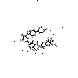 Cc1ccc(-c2cc(Nc3ccc(C4CCN(C)CC4)cn3)c(=O)[nH]n2)c(F)c1NC(=O)c1cc2c(s1)CC(C)(C)C2O